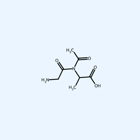 CC(=O)N(C(=O)CN)C(C)C(=O)O